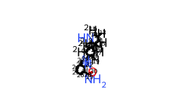 [2H]c1c([2H])c(C2([2H])C([2H])NC([2H])C([2H])C2[2H])c([2H])c([2H])c1-n1cc2cccc(C(N)=O)c2n1